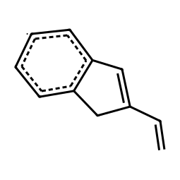 C=CC1=Cc2c[c]ccc2C1